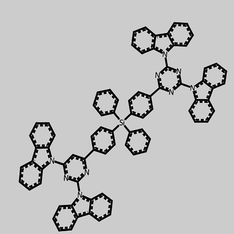 c1ccc([Si](c2ccccc2)(c2ccc(-c3cc(-n4c5ccccc5c5ccccc54)nc(-n4c5ccccc5c5ccccc54)n3)cc2)c2ccc(-c3nc(-n4c5ccccc5c5ccccc54)nc(-n4c5ccccc5c5ccccc54)n3)cc2)cc1